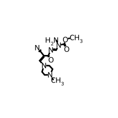 COC(=O)N(N)C=NC(=O)C(C#N)=CN1CCN(C)CC1